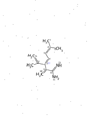 C=C(C)/C(=C\C=C(C)C)C(=C)C(=N)N